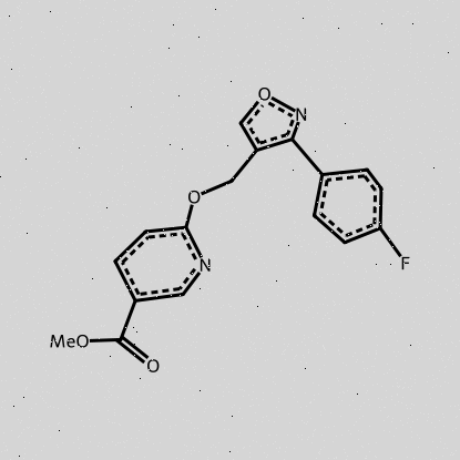 COC(=O)c1ccc(OCc2conc2-c2ccc(F)cc2)nc1